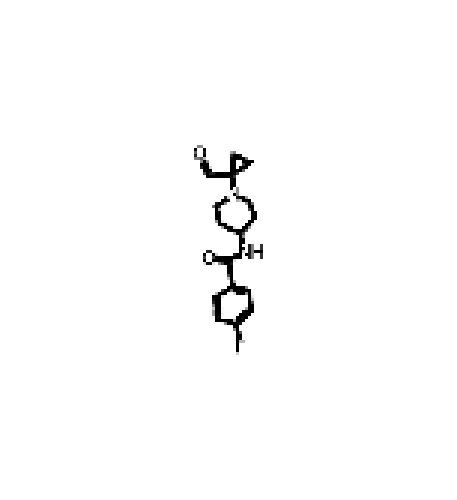 O=CC1(N2CCC(NC(=O)c3ccc(F)cc3)CC2)CC1